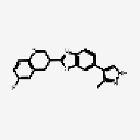 Cc1n[nH]cc1-c1ccc2nc(C3COc4ccc(F)cc4C3)oc2c1